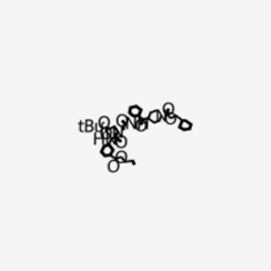 C=CCOC(=O)c1cccc(NC(=O)N(CC(=O)Nc2ccccc2C(=O)C2CCN(C(=O)OCc3ccccc3)CC2)CC(=O)OC(C)(C)C)c1